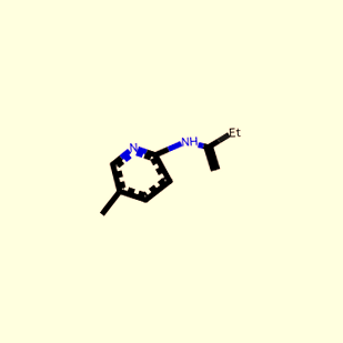 C=C(CC)Nc1ccc(C)cn1